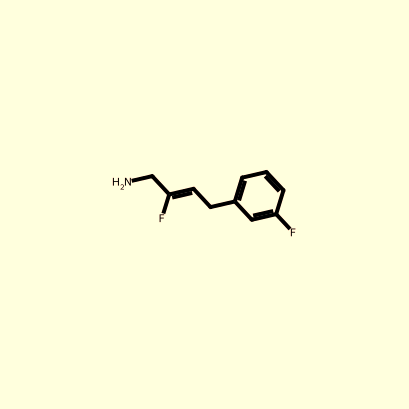 NCC(F)=CCc1cccc(F)c1